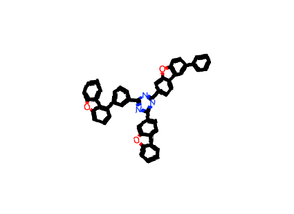 c1ccc(-c2ccc3oc4cc(-c5nc(-c6cccc(-c7cccc8oc9ccccc9c78)c6)nc(-c6ccc7c(c6)oc6ccccc67)n5)ccc4c3c2)cc1